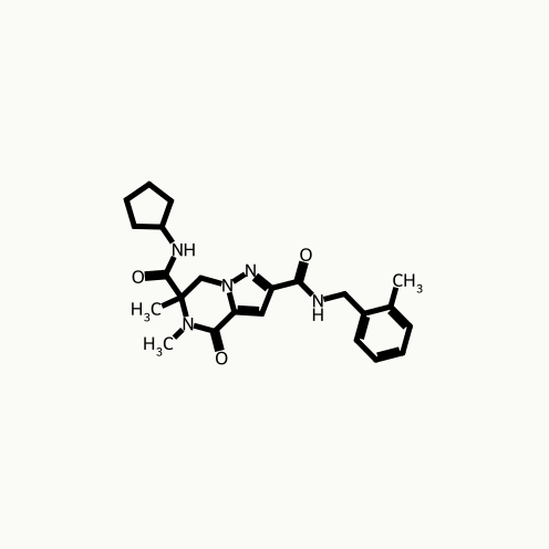 Cc1ccccc1CNC(=O)c1cc2n(n1)CC(C)(C(=O)NC1CCCC1)N(C)C2=O